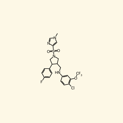 Cn1cnc(S(=O)(=O)N2CC(CNc3ccc(Cl)c(OC(F)(F)F)c3)C(c3ccc(F)cc3)C2)c1